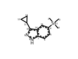 [CH3][Sn]([CH3])([CH3])[c]1ccc2[nH]nc(C3CC3)c2c1